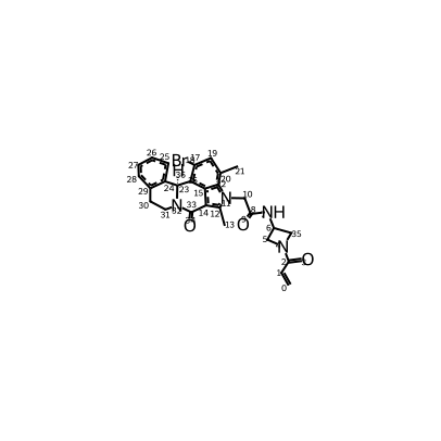 C=CC(=O)N1CC(NC(=O)Cn2c(C)c3c4c(c(Br)cc(C)c42)[C@@H]2c4ccccc4CCN2C3=O)C1